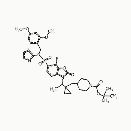 COc1ccc(CN(c2nccs2)S(=O)(=O)c2ccc3c(oc(=O)n3C(C)C3(CC4CCN(C(=O)OC(C)(C)C)CC4)CC3)c2F)c(OC)c1